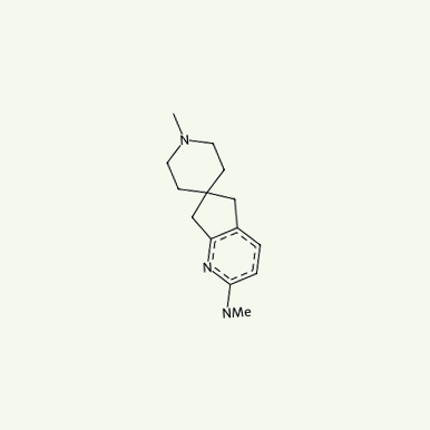 CNc1ccc2c(n1)CC1(CCN(C)CC1)C2